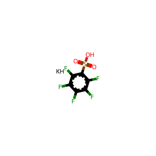 O=S(=O)(O)c1c(F)c(F)c(F)c(F)c1F.[KH]